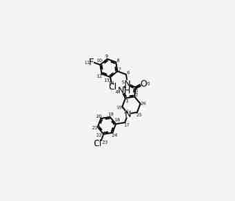 O=c1c2c([nH]n1Cc1ccc(F)cc1Cl)CN(Cc1cccc(Cl)c1)CC2